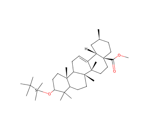 COC(=O)[C@]12CC[C@H](C)C[C@H]1C1=CCC3[C@@]4(C)CCC(O[Si](C)(C)C(C)(C)C)C(C)(C)C4CC[C@@]3(C)[C@@]1(C)CC2